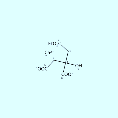 CCOC(=O)CC(O)(CC(=O)[O-])C(=O)[O-].[Ca+2]